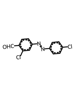 O=Cc1ccc(N=Nc2ccc(Cl)cc2)cc1Cl